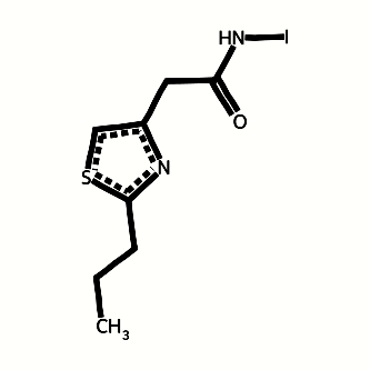 CCCc1nc(CC(=O)NI)cs1